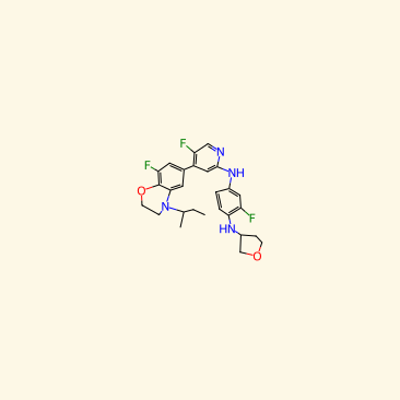 CCC(C)N1CCOc2c(F)cc(-c3cc(Nc4ccc(NC5CCOC5)c(F)c4)ncc3F)cc21